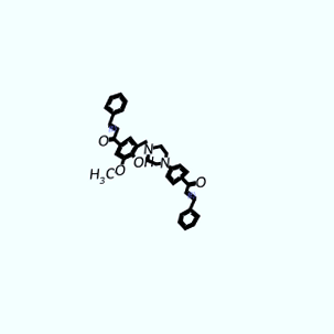 COc1cc(C(=O)/C=C/c2ccccc2)cc(CN2CCN(c3ccc(C(=O)/C=C/c4ccccc4)cc3)CC2)c1O